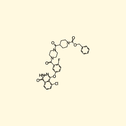 O=C(OCc1ccccc1)N1CCC(C(=O)N2CCN(C(=O)c3cc(Oc4n[nH]c(=O)c5cccc(Cl)c45)ccc3F)CC2)CC1